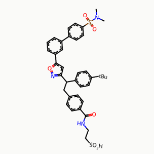 CN(C)S(=O)(=O)c1ccc(-c2cccc(-c3cc(C(Cc4ccc(C(=O)NCCS(=O)(=O)O)cc4)c4ccc(C(C)(C)C)cc4)no3)c2)cc1